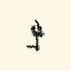 CC#CCOc1ccc(C[C@H](NC(=O)[C@@H](C=CCCCCCCC2(CCCCCCC)OCCO2)[C@@](O)(CCO[Si](C)(C)C(C)(C)C)C(=O)O)C(=O)OC)cc1